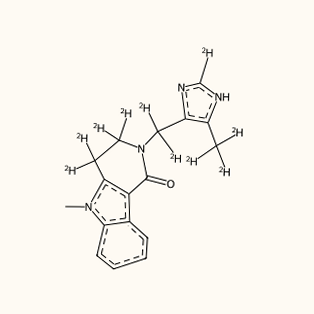 [2H]c1nc(C([2H])([2H])N2C(=O)c3c(n(C)c4ccccc34)C([2H])([2H])C2([2H])[2H])c(C([2H])([2H])[2H])[nH]1